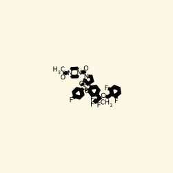 CC(=O)N1CCN(C(=O)N2CC[C@](c3ccc(C(C)(OCc4c(F)cccc4F)C(F)(F)F)cc3)(S(=O)(=O)c3ccc(F)cc3)C2)CC1